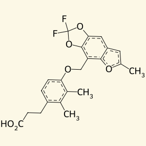 Cc1cc2cc3c(c(COc4ccc(CCC(=O)O)c(C)c4C)c2o1)OC(F)(F)O3